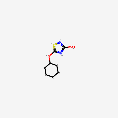 Oc1nsc(OC2CCCCC2)n1